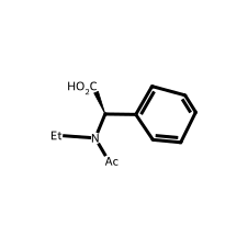 CCN(C(C)=O)[C@@H](C(=O)O)c1ccccc1